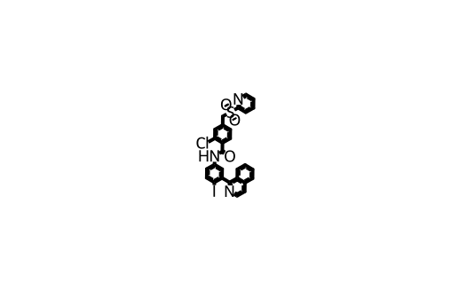 O=C(Nc1ccc(I)c(-c2nccc3ccccc23)c1)c1ccc(CS(=O)(=O)c2ccccn2)cc1Cl